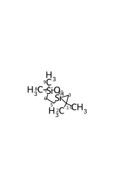 CC1(C)C[Si]12CC[Si](C)(C)O2